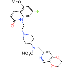 COc1cc(F)cc2c1ccc(=O)n2CCN1CCC(N(Cc2cc3c(cn2)OCCO3)C(=O)O)CC1